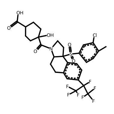 Cc1ccc(S(=O)(=O)C23CCN(C(=O)C4(O)CCC(C(=O)O)CC4)C2CCc2cc(C(F)(C(F)(F)F)C(F)(F)F)ccc23)cc1Cl